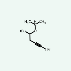 CCCC#CCC(O[SiH](C)C)C(C)(C)C